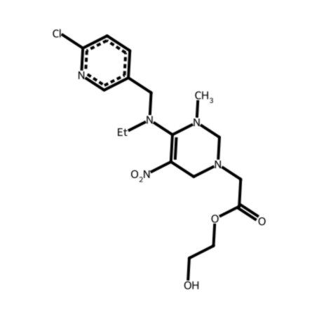 CCN(Cc1ccc(Cl)nc1)C1=C([N+](=O)[O-])CN(CC(=O)OCCO)CN1C